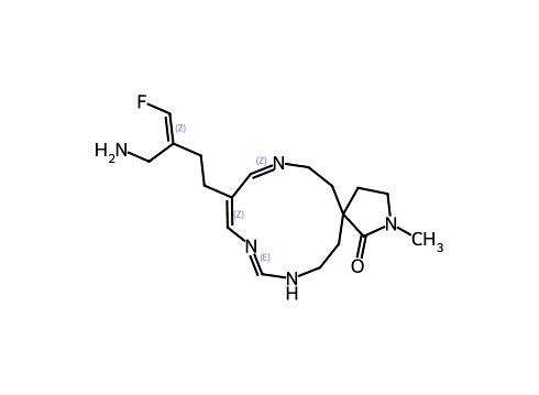 CN1CCC2(CC\N=C/C(CC/C(=C/F)CN)=C\N=C\NCC2)C1=O